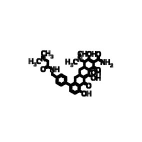 CN(C)CC(=O)NCc1ccc(-c2ccc(O)c3c2CC2CC4C(N(C)C)C(O)=C(C(N)=O)C(=O)C4(O)C(O)=C2C3=O)cc1